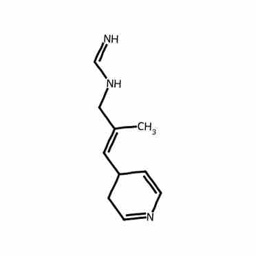 C/C(=C\C1C=CN=CC1)CNC=N